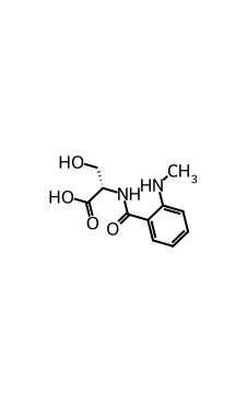 CNc1ccccc1C(=O)N[C@@H](CO)C(=O)O